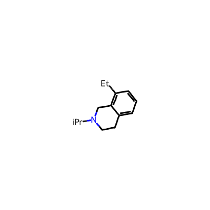 CCc1cccc2c1CN(C(C)C)CC2